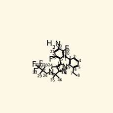 CCc1cccc(CC)c1-n1nc2c(c1-c1cc(F)c(N)cc1F)CN(CC(C)(C)C(F)(F)F)C2(C)C